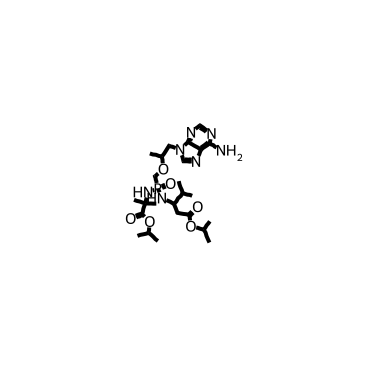 CC(C)OC(=O)CC(NP(=O)(COC(C)Cn1cnc2c(N)ncnc21)NC(C)(C)C(=O)OC(C)C)C(C)C